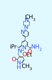 CCOc1cc(C)[nH]c(=O)c1CN1CN2C(C(N)=O)=CC(c3ccc(N4CCN(C)CC4)nc3)=CC2=C1C(C)C